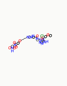 O=C1CCC(N2C(=O)c3ccc(OCCCCCCN4CCN(c5ccc(C(=O)N6CCC[C@@H](Nc7ncnc8[nH]cc(C(=O)c9ccc(Oc%10ccccc%10)cc9Cl)c78)C6)cn5)CC4)cc3C2=O)C(=O)N1